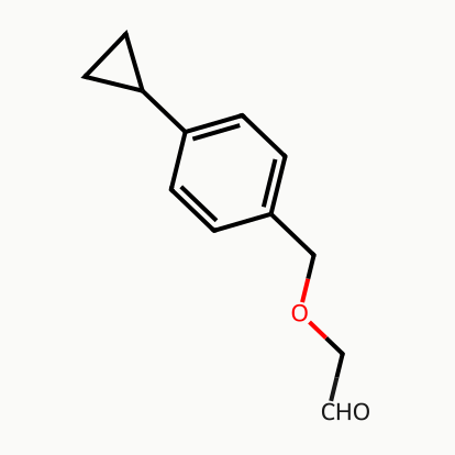 O=CCOCc1ccc(C2CC2)cc1